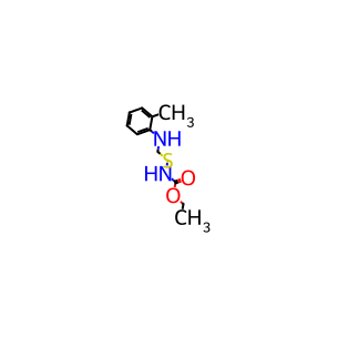 CCOC(=O)NSCNc1ccccc1C